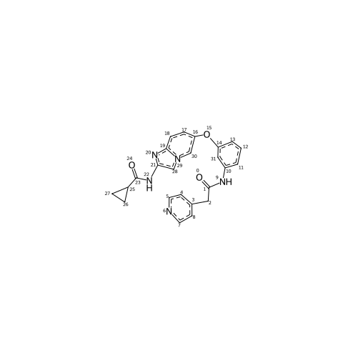 O=C(Cc1ccncc1)Nc1cccc(Oc2ccc3nc(NC(=O)C4CC4)cn3c2)c1